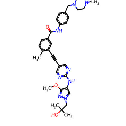 COc1nn(CC(C)(C)O)cc1Nc1ncc(C#Cc2cc(C(=O)Nc3ccc(CN4CCN(C)CC4)cc3)ccc2C)cn1